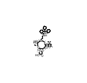 CC[C@H]1OC(=O)[C@H](C)[C@@H](O[C@H]2C[C@@](C)(OC)[C@@H](O)[C@H](C)O2)[C@H](C)[C@@H](O[C@@H]2O[C@H](C)C[C@H](N(C)C)[C@H]2O)[C@](C)(O)C[C@@H](C)CN(CCCNC(=S)NC(c2ccccc2)(c2ccccc2)c2ccccc2)[C@H](C)[C@@H](O)[C@]1(C)O